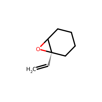 C=C[C@@]12CCCCC1O2